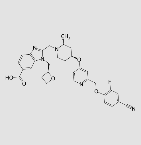 C[C@H]1C[C@@H](Oc2ccnc(COc3ccc(C#N)cc3F)c2)CCN1Cc1nc2ccc(C(=O)O)cc2n1C[C@@H]1CCO1